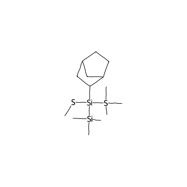 CS[Si](C1CC2CCC1C2)([Si](C)(C)C)S(C)(C)C